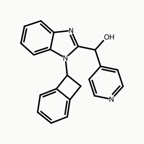 OC(c1ccncc1)c1nc2ccccc2n1C1Cc2ccccc21